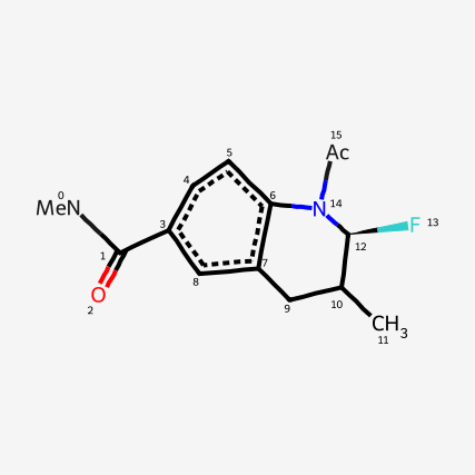 CNC(=O)c1ccc2c(c1)CC(C)[C@H](F)N2C(C)=O